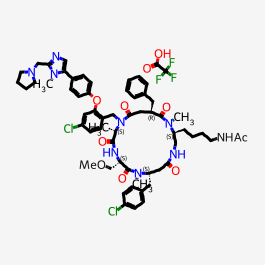 COC[C@@H]1NC(=O)[C@H](C)N(Cc2ccc(Cl)cc2Oc2ccc(-c3cnc(CN4CCCC4)n3C)cc2)C(=O)C[C@@H](Cc2ccccc2)C(=O)N(C)[C@@H](CCCCNC(C)=O)CNC(=O)C[C@H](Cc2ccc(Cl)cc2)N(C)C1=O.O=C(O)C(F)(F)F